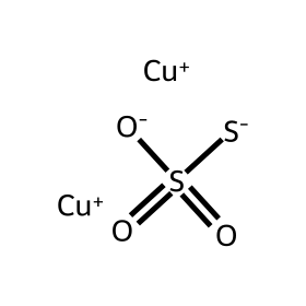 O=S(=O)([O-])[S-].[Cu+].[Cu+]